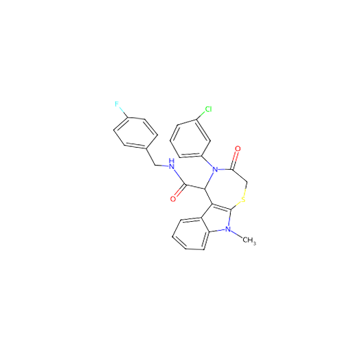 Cn1c2c(c3ccccc31)C(C(=O)NCc1ccc(F)cc1)N(c1cccc(Cl)c1)C(=O)CS2